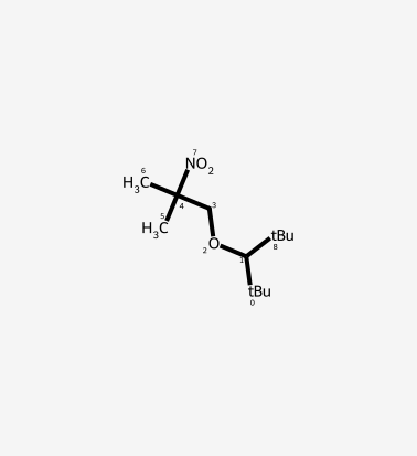 CC(C)(C)C(OCC(C)(C)[N+](=O)[O-])C(C)(C)C